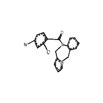 O=C(c1ccc(Br)cc1Cl)N1Cc2cccn2Cc2ccccc21